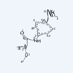 CON(C)C(=O)Nc1ccc(N)cc1